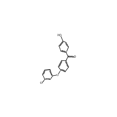 O=C(c1ccc(O)cc1)c1ccc(Oc2cccc(Cl)c2)cc1